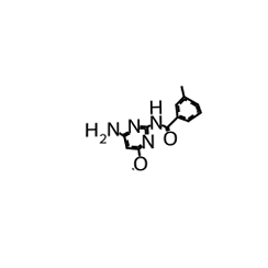 COc1cc(N)nc(NC(=O)c2cccc(C)c2)n1